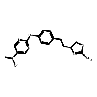 C[S+]([O-])c1cnc(Nc2ccc(CC[C@H]3COC(N)=N3)cc2)nc1